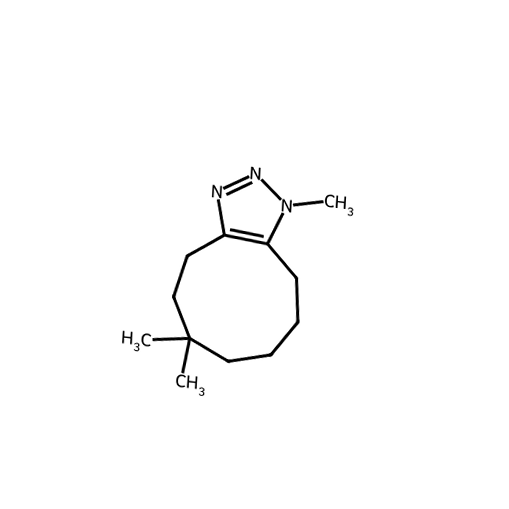 Cn1nnc2c1CCCCC(C)(C)CC2